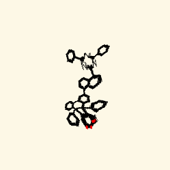 c1ccc(-c2nc(-c3ccccc3)nc(-c3cccc4c(-c5ccc6c(c5)-c5ccccc5C(c5ccccc5)(c5ccccc5)C6(c5ccccc5)c5ccccc5)cccc34)n2)cc1